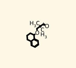 CC(C)([C]=O)COC1CCCc2ccccc21